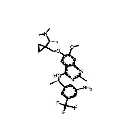 COc1cc2nc(C)nc(N[C@H](C)c3cc(N)cc(C(F)(F)F)c3)c2cc1OCC1([C@@H](C)N(C)C)CC1